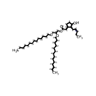 CC/C=C\CC1C(O)CCC1CC(=O)OCC(COCCCCCCCCCCCCCC)OCCCCCCCCCCCCCC